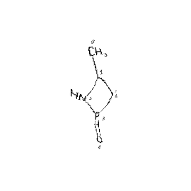 CC1C[PH](=O)N1